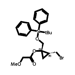 COCC(=O)O[C@@]1(CO[Si](c2ccccc2)(c2ccccc2)C(C)(C)C)C[C@H]1CBr